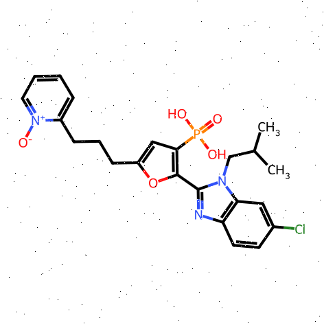 CC(C)Cn1c(-c2oc(CCCc3cccc[n+]3[O-])cc2P(=O)(O)O)nc2ccc(Cl)cc21